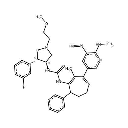 CNc1ncc(C2=NCCC(c3ccccc3)C(NC(=O)N[C@@H]3CN(CCOC)O[C@H]3c3cccc(F)c3)=C2C)cc1N=N